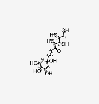 O=C(COCC1(O)C=C(O)C(O)=C(O)C1)C(O)C(O)C(O)CO